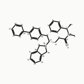 C[C@H](c1ccccc1)N(C)C(=O)CC[C@@H](Cc1ccc(-c2ccccc2)cc1)N1Cc2ccccc2C1